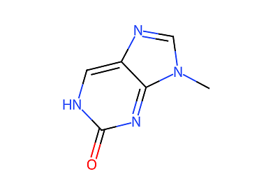 Cn1cnc2c[nH]c(=O)nc21